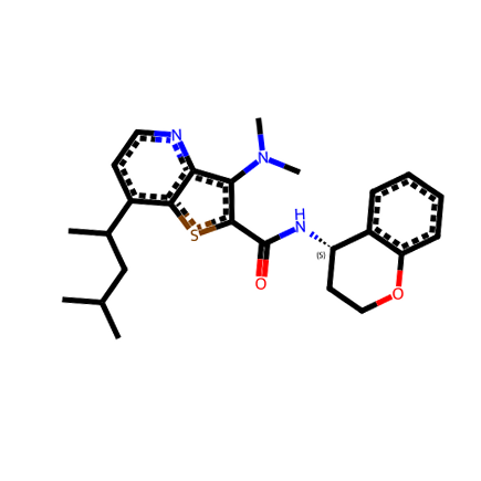 CC(C)CC(C)c1ccnc2c(N(C)C)c(C(=O)N[C@H]3CCOc4ccccc43)sc12